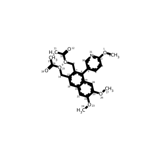 COc1ccc(-c2c(COC(C)=O)c(COC(C)=O)cc3cc(OC)c(OC)cc23)cn1